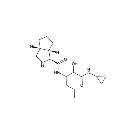 CCCC(NC(=O)[C@H]1NC[C@@H]2CCC[C@@H]21)C(O)C(=O)NC1CC1